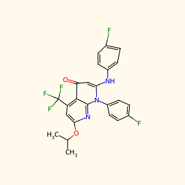 CC(C)Oc1cc(C(F)(F)F)c2c(=O)cc(Nc3ccc(F)cc3)n(-c3ccc(F)cc3)c2n1